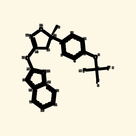 C[C@]1(c2ccc(OC(F)(F)F)cc2)CC(Oc2cc3ccccn3n2)=NO1